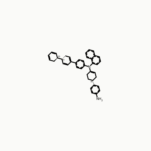 Nc1ccc([C@H]2CC=C(N(c3ccc(C4=CC[C@@H]([C@@H]5C=CC=CC5)C=C4)cc3)c3cccc4ccccc34)CC2)cc1